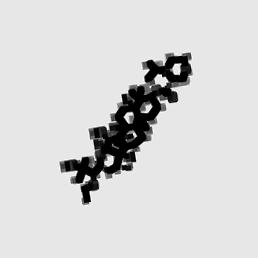 CCO[C@@H]([C@H]1C[C@@H](C)[C@H]2[C@H](O1)[C@H](O)[C@@]1(C)[C@@H]3CC[C@H]4C(C)(C)[C@@H](OC(=O)[C@H]5COCCN5C(C)C)CCC45C[C@@]35CC[C@]21C)C(C)(C)O